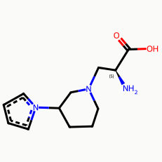 N[C@@H](CN1CCCC(n2cccc2)C1)C(=O)O